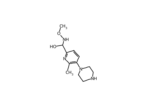 CONC(O)c1ccc(N2CCNCC2)c(C)n1